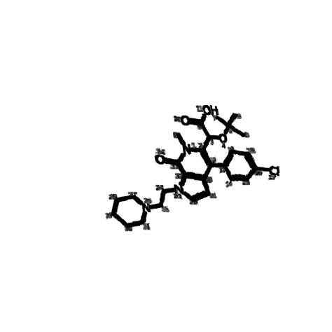 Cn1c(C(OC(C)(C)C)C(=O)O)c(-c2ccc(Cl)cc2)c2ccn(CCN3CCCCC3)c2c1=O